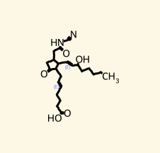 CCCCCC(O)/C=C/C1C(CC(=O)NC#N)CC(=O)C1C/C=C/CCCC(=O)O